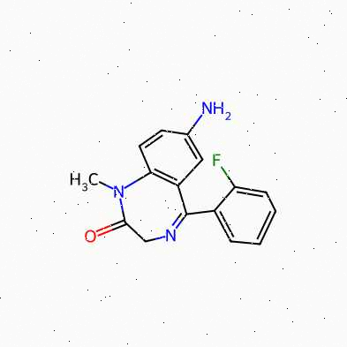 CN1C(=O)CN=C(c2ccccc2F)c2cc(N)ccc21